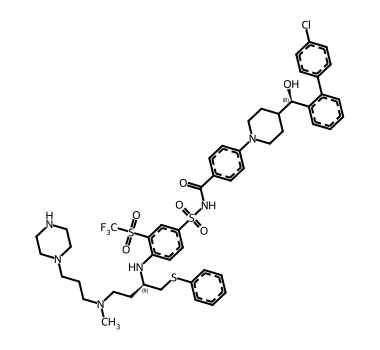 CN(CCCN1CCNCC1)CC[C@H](CSc1ccccc1)Nc1ccc(S(=O)(=O)NC(=O)c2ccc(N3CCC([C@@H](O)c4ccccc4-c4ccc(Cl)cc4)CC3)cc2)cc1S(=O)(=O)C(F)(F)F